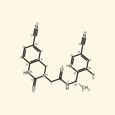 C[C@H](NC(=O)CN1Cc2cc(C#N)ccc2NC1=O)c1ncc(C#N)cc1F